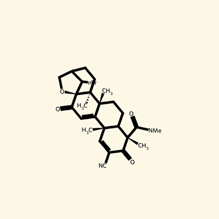 CCCC1C2CC[C@@]3(C)[C@]4(C)CCC5[C@](C)(C(=O)NC)C(=O)C(C#N)=C[C@]5(C)C4=CC(=O)[C@]13OC2